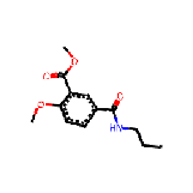 CCCNC(=O)c1ccc(OC)c(C(=O)OC)c1